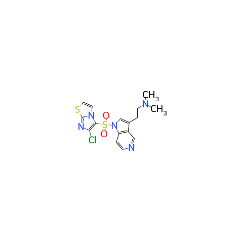 CN(C)CCc1cn(S(=O)(=O)c2c(Cl)nc3sccn23)c2ccncc12